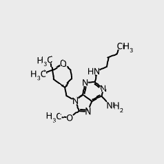 CCCCNc1nc(N)c2nc(OC)n(CC3CCOC(C)(C)C3)c2n1